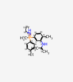 C=C(C)Nc1cc([PH](C)(NCC(C)C)c2ccc(CC)cc2)ccc1C